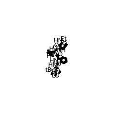 C#CCC(NC(=O)[C@@H]1[C@@H]2[C@H](CN1C(=O)[C@@H](NC(=O)N[C@H](CN(C)S(=O)(=O)N(C)C)C(C)(C)C)C1CCCCC1)C2(C)C)C(=O)C(=O)NCC